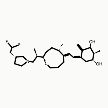 C=C1/C(=C\C=C2/CCCC[C@@H]([C@H](C)CN3CC[C@H](CC(F)F)C3)CC[C@@H]2C)C[C@@H](O)[C@H](C)[C@@H]1O